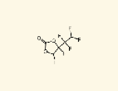 O=C1OC(F)C(F)(C(F)(F)C(F)F)O1